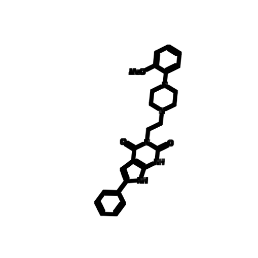 COc1ccccc1N1CCN(CCn2c(=O)[nH]c3[nH]c(-c4ccccc4)cc3c2=O)CC1